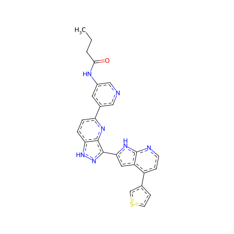 CCCC(=O)Nc1cncc(-c2ccc3[nH]nc(-c4cc5c(-c6ccsc6)ccnc5[nH]4)c3n2)c1